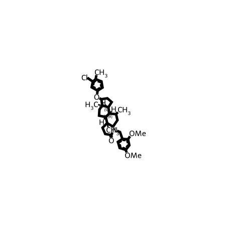 COc1ccc(CN2C(=O)CC[C@@]3(C)C2CC(C)[C@@H]2[C@H]3CC[C@]3(C)C(Oc4ccc(C)c(Cl)c4)CC[C@@H]23)c(OC)c1